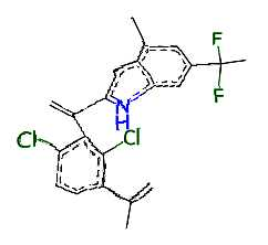 C=C(C)c1ccc(Cl)c(C(=C)c2cc3c(C)cc(C(C)(F)F)cc3[nH]2)c1Cl